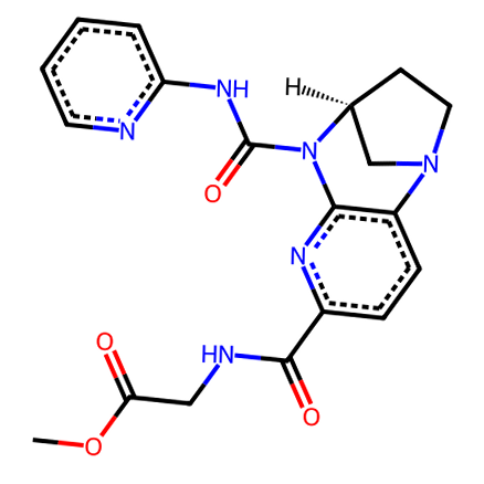 COC(=O)CNC(=O)c1ccc2c(n1)N(C(=O)Nc1ccccn1)[C@H]1CCN2C1